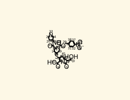 C[C@@H](O)[C@H]1C(=O)N2C(C(=O)O)=C(S[C@H]3C[C@@H](C(=O)N[C@H]4CCN(C)C4)N(C(=O)OCc4ccc([N+](=O)[O-])cc4)C3)[C@H](C)[C@H]12